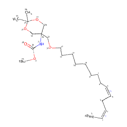 CCCCC/C=C\C/C=C\CCCCCCCCOCC1(NC(=O)OC(C)(C)C)COC(C)(C)OC1